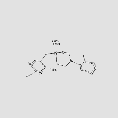 Cc1ncc(CN2CCN(c3ccccc3C)CC2)c(N)n1.Cl.Cl